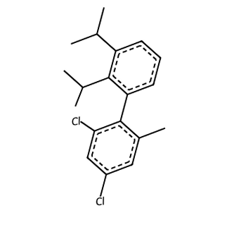 Cc1cc(Cl)cc(Cl)c1-c1cccc(C(C)C)c1C(C)C